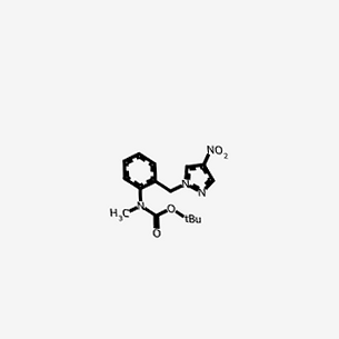 CN(C(=O)OC(C)(C)C)c1ccccc1Cn1cc([N+](=O)[O-])cn1